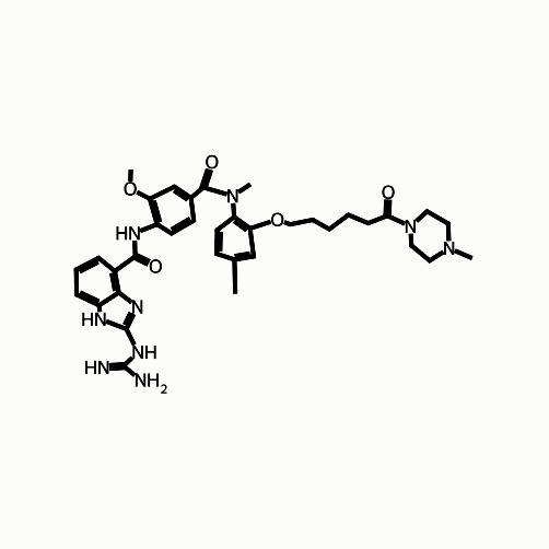 COc1cc(C(=O)N(C)c2ccc(C)cc2OCCCCCC(=O)N2CCN(C)CC2)ccc1NC(=O)c1cccc2[nH]c(NC(=N)N)nc12